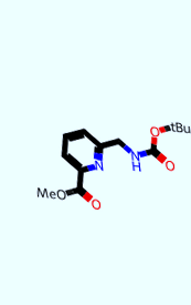 COC(=O)c1cccc(CNC(=O)OC(C)(C)C)n1